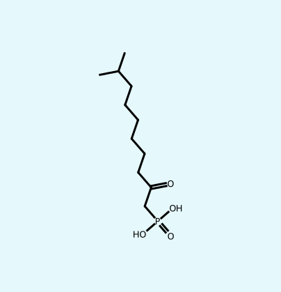 CC(C)CCCCCCC(=O)CP(=O)(O)O